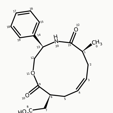 C[C@H]1CC=CC[C@@H](CC(=O)O)C(=O)OC[C@@H](c2ccccc2)NC1=O